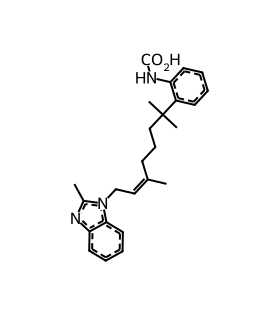 CC(=CCn1c(C)nc2ccccc21)CCCC(C)(C)c1ccccc1NC(=O)O